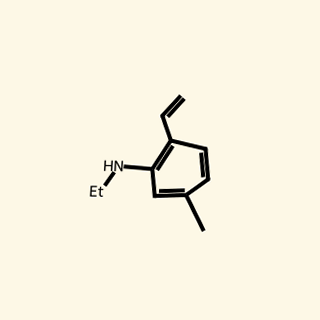 C=Cc1ccc(C)cc1NCC